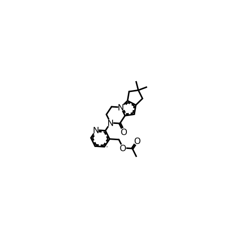 CC(=O)OCc1[c]ccnc1N1CCn2c(cc3c2CC(C)(C)C3)C1=O